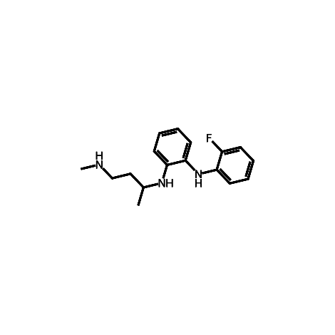 CNCCC(C)Nc1ccccc1Nc1ccccc1F